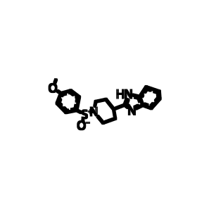 COc1ccc([S+]([O-])N2CCC(c3nc4ccccc4[nH]3)CC2)cc1